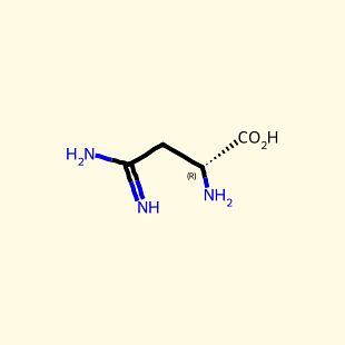 N=C(N)C[C@@H](N)C(=O)O